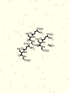 NC(CCC(=O)NC(CS)C(=O)NCC(=O)[O-])C(=O)[O-].NC(CCC(=O)NC(CS)C(=O)NCC(=O)[O-])C(=O)[O-].NC(CCC(=O)NC(CS)C(=O)NCC(=O)[O-])C(=O)[O-].[Au+3].[Au+3]